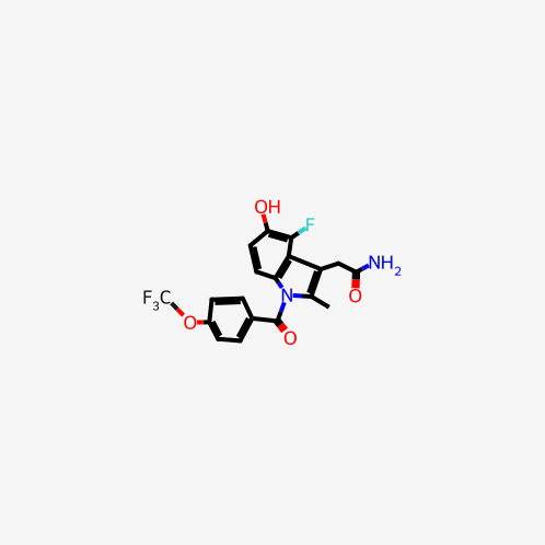 Cc1c(CC(N)=O)c2c(F)c(O)ccc2n1C(=O)c1ccc(OC(F)(F)F)cc1